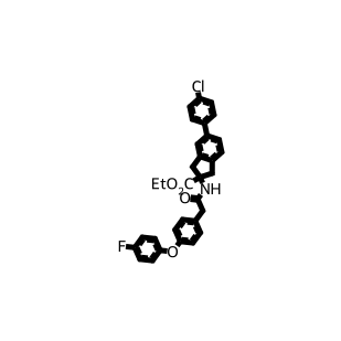 CCOC(=O)C1(NC(=O)Cc2ccc(Oc3ccc(F)cc3)cc2)Cc2ccc(-c3ccc(Cl)cc3)cc2C1